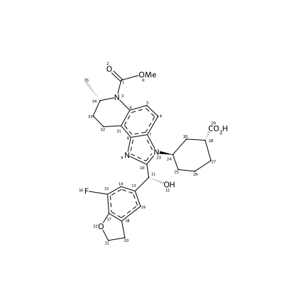 COC(=O)N1c2ccc3c(nc([C@H](O)c4cc(F)c5c(c4)CCO5)n3[C@@H]3CCC[C@@H](C(=O)O)C3)c2CC[C@@H]1C